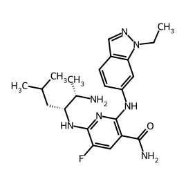 CCn1ncc2ccc(Nc3nc(N[C@H](CC(C)C)[C@H](C)N)c(F)cc3C(N)=O)cc21